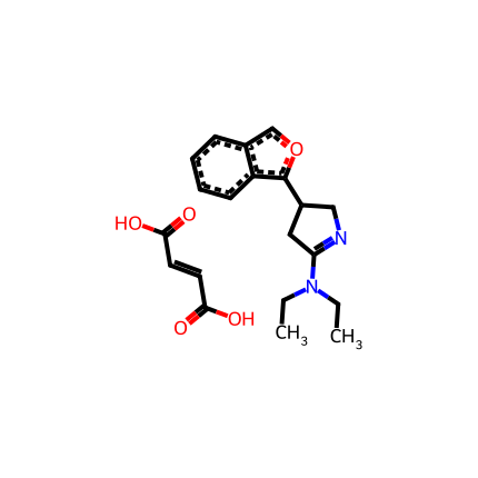 CCN(CC)C1=NCC(c2occ3ccccc23)C1.O=C(O)C=CC(=O)O